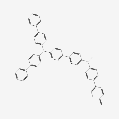 C=C/C=C\C(=C/C)c1ccc(N(C)c2ccc(-c3ccc(N(c4ccc(-c5ccccc5)cc4)c4ccc(-c5ccccc5)cc4)cc3)cc2)cc1